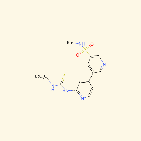 CCOC(=O)NC(=S)Nc1cc(-c2cncc(S(=O)(=O)NC(C)(C)C)c2)ccn1